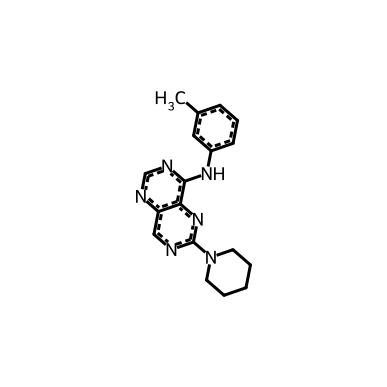 Cc1cccc(Nc2ncnc3cnc(N4CCCCC4)nc23)c1